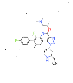 Cc1cc2c(nc(O[C@@H](C)CN(C)C)c3nnn([C@H]4CCN[C@H](CC#N)C4)c32)c(F)c1-c1ccc(F)cc1